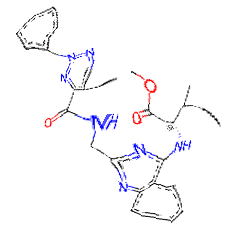 COC(=O)[C@@H](Nc1nc(CNC(=O)c2nn(-c3ccccc3)nc2C)nc2ccccc12)C(C)C